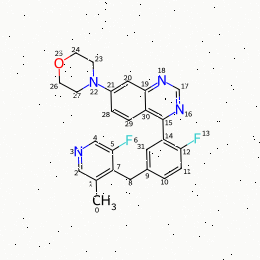 Cc1cncc(F)c1Cc1ccc(F)c(-c2ncnc3cc(N4CCOCC4)ccc23)c1